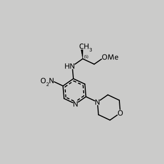 COC[C@H](C)Nc1cc(N2CCOCC2)ncc1[N+](=O)[O-]